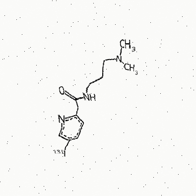 CN(C)CCCNC(=O)c1ccc([131I])cn1